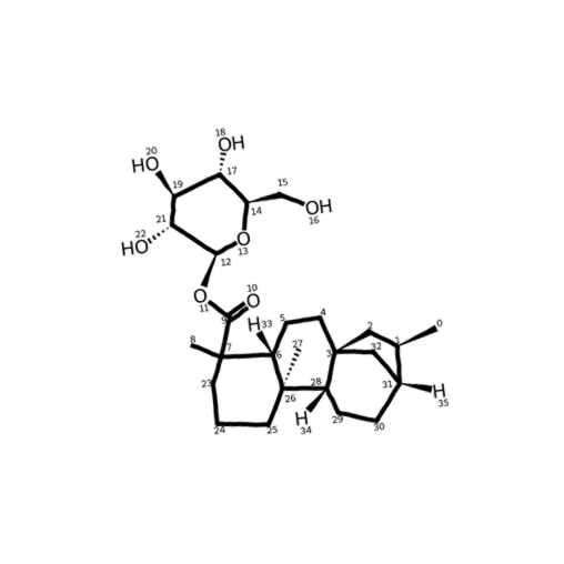 C[C@@H]1C[C@]23CC[C@H]4C(C)(C(=O)O[C@@H]5O[C@H](CO)[C@@H](O)[C@H](O)[C@H]5O)CCC[C@]4(C)[C@H]2CC[C@@H]1C3